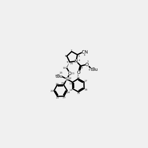 CC(C)(C)OC(=O)N1C(C#N)CC[C@H]1CO[Si](c1ccccc1)(c1ccccc1)C(C)(C)C